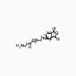 NCCNCCNCCN.O=C1OC(=O)c2ccccc21